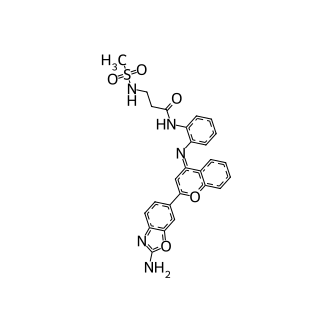 CS(=O)(=O)NCCC(=O)Nc1ccccc1N=c1cc(-c2ccc3nc(N)oc3c2)oc2ccccc12